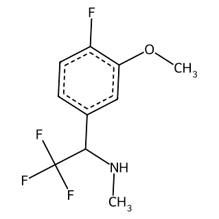 CNC(c1ccc(F)c(OC)c1)C(F)(F)F